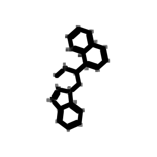 CO[C](Cn1nnc2ccccc21)c1cccc2cccnc12